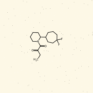 CCC(=O)C(=O)N1CCCCC1C1CCCC(F)(F)CC1